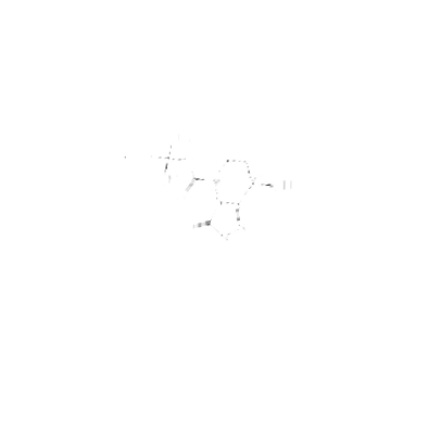 C[C@@H]1CC[C@H](C(=O)OC(C)(C)C)n2c1n[nH]c2=O